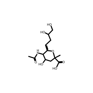 CC(=O)NC1/C(=C/CC(O)CO)OC(C)(C(=O)O)CC1O